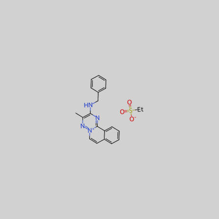 CCS(=O)(=O)[O-].Cc1n[n+]2ccc3ccccc3c2nc1NCc1ccccc1